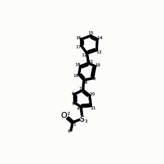 CC(=O)Sc1ccc(-c2ccc(-c3ccccc3)cc2)cc1